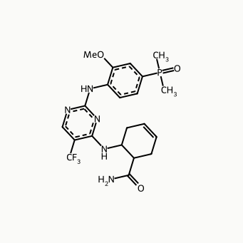 COc1cc(P(C)(C)=O)ccc1Nc1ncc(C(F)(F)F)c(NC2CC=CCC2C(N)=O)n1